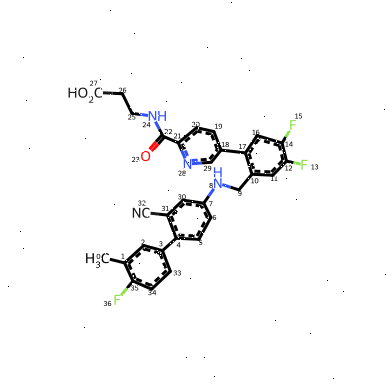 Cc1cc(-c2ccc(NCc3cc(F)c(F)cc3-c3ccc(C(=O)NCCC(=O)O)nc3)cc2C#N)ccc1F